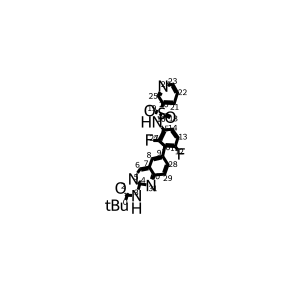 CC(C)(C)C(=O)Nc1ncc2cc(-c3c(F)ccc(NS(=O)(=O)c4cccnc4)c3F)ccc2n1